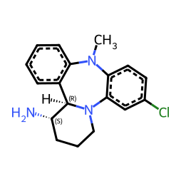 CN1c2ccccc2[C@@H]2[C@@H](N)CCCN2c2cc(Cl)ccc21